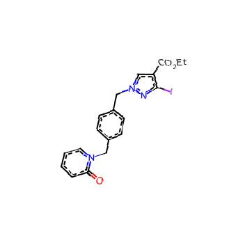 CCOC(=O)c1cn(Cc2ccc(Cn3ccccc3=O)cc2)nc1I